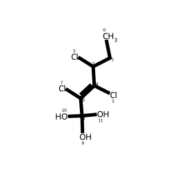 CCC(Cl)C(Cl)=C(Cl)C(O)(O)O